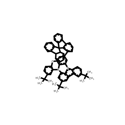 CC(C)(C)c1ccc2c(c1)B1c3c(cc(-c4cccc5c4C4(c6ccccc6-5)c5ccccc5C5C=CC=CC54)cc3-n3c4ccc(C(C)(C)C)cc4c4cc(C(C)(C)C)cc1c43)O2